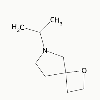 CC(C)N1CCC2(CCO2)C1